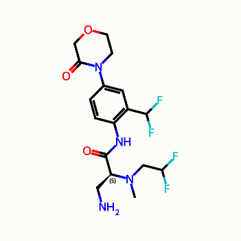 CN(CC(F)F)[C@@H](CN)C(=O)Nc1ccc(N2CCOCC2=O)cc1C(F)F